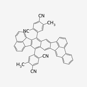 Cc1cc(-c2c3cc4c(cc3c(-c3cc(C)c(C#N)cc3C#N)c3c5cccc6cccc(c23)c65)c2cc3ccccc3c3cccc4c32)c(C#N)cc1C#N